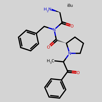 CC[C@H](C)[C@H](N)C(=O)N(Cc1ccccc1)C(=O)[C@@H]1CCCN1C(C)C(=O)c1ccccc1